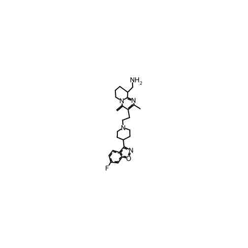 C=C1C(CCN2CCC(c3noc4cc(F)ccc34)CC2)=C(C)N=C2C(CN)CCCN12